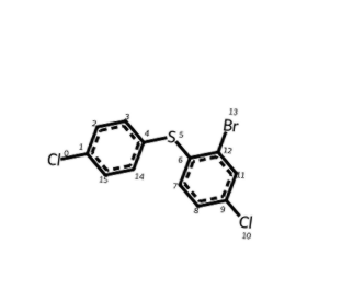 Clc1ccc(Sc2ccc(Cl)cc2Br)cc1